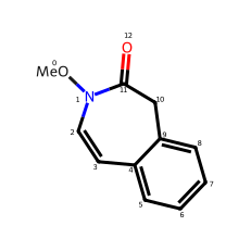 CON1C=Cc2ccccc2CC1=O